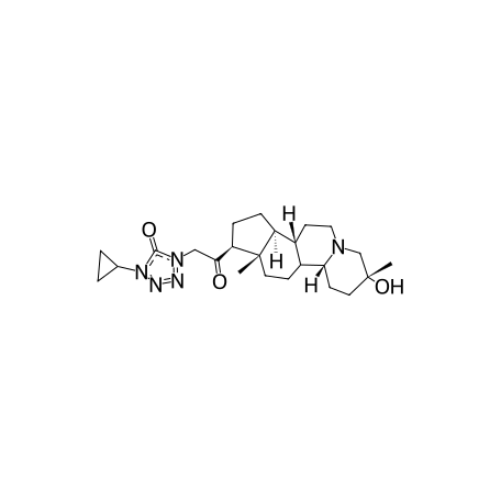 C[C@@]1(O)CC[C@@H]2C3CC[C@]4(C)[C@@H](C(=O)Cn5nnn(C6CC6)c5=O)CC[C@H]4[C@@H]3CCN2C1